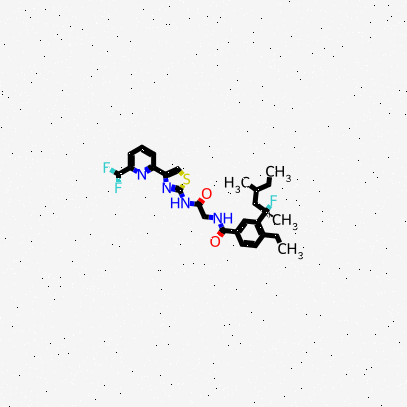 CCc1ccc(C(=O)NCC(=O)Nc2nc(-c3cccc(C(F)F)n3)cs2)cc1[C@](C)(F)CC(C)CC